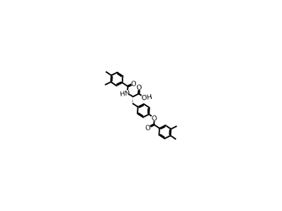 Cc1ccc(C(=O)N[C@@H](Cc2ccc(OC(=O)c3ccc(C)c(C)c3)cc2)C(=O)O)cc1C